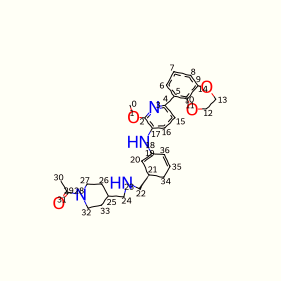 COc1nc(-c2cccc3c2OCCO3)ccc1NC1=C[C@H](CNCC2CCN(C(C)=O)CC2)CC=C1